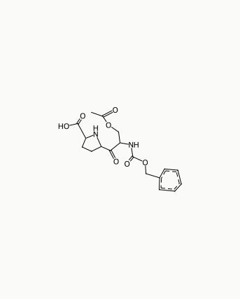 CC(=O)OCC(NC(=O)OCc1ccccc1)C(=O)C1CCC(C(=O)O)N1